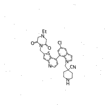 CCN1CC(=O)N(Cc2cc3nccc(-c4cc(Cl)cc5ccn(CC6(C#N)CCNCC6)c45)c3s2)C(=O)C1